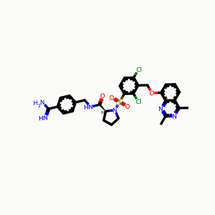 Cc1nc(C)c2cccc(OCc3c(Cl)ccc(S(=O)(=O)N4CCC[C@H]4C(=O)NCc4ccc(C(=N)N)cc4)c3Cl)c2n1